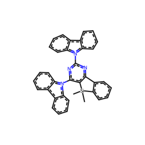 C[Si]1(C)c2ccccc2-c2nc(-n3c4ccccc4c4ccccc43)nc(-n3c4ccccc4c4ccccc43)c21